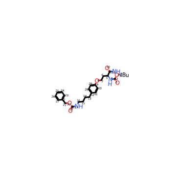 CC(C)(C)OC(=O)NC(CCOc1ccc(CCCCNC(=O)OCc2ccccc2)cc1)C(N)=O